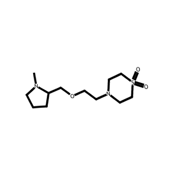 CN1CCCC1COCCN1CCS(=O)(=O)CC1